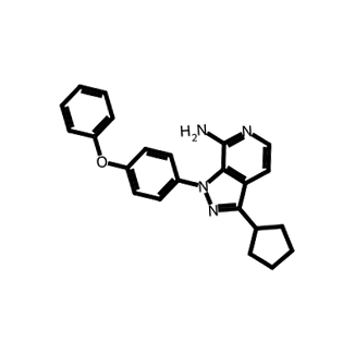 Nc1nccc2c(C3CCCC3)nn(-c3ccc(Oc4ccccc4)cc3)c12